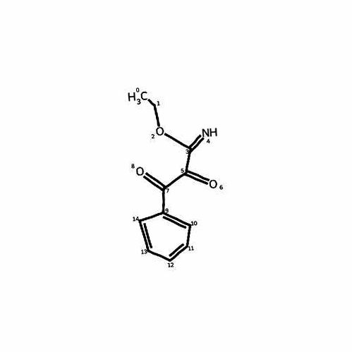 CCOC(=N)C(=O)C(=O)c1ccccc1